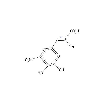 N#C/C(=C\c1cc(O)c(O)c([N+](=O)[O-])c1)C(=O)O